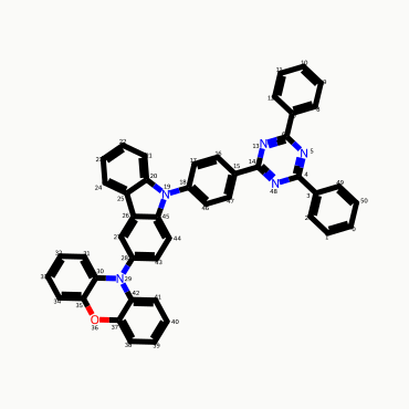 c1ccc(-c2nc(-c3ccccc3)nc(-c3ccc(-n4c5ccccc5c5cc(N6c7ccccc7Oc7ccccc76)ccc54)cc3)n2)cc1